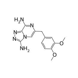 COc1ccc(Cc2cn3c(N)nnc3c(N)n2)cc1OC